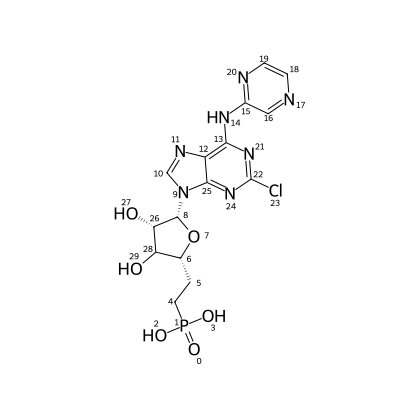 O=P(O)(O)CC[C@H]1O[C@@H](n2cnc3c(Nc4cnccn4)nc(Cl)nc32)[C@@H](O)C1O